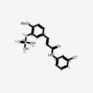 COc1ccc(/C=C/C(=O)Nc2cccc(Cl)c2)cc1OP(=O)(O)O